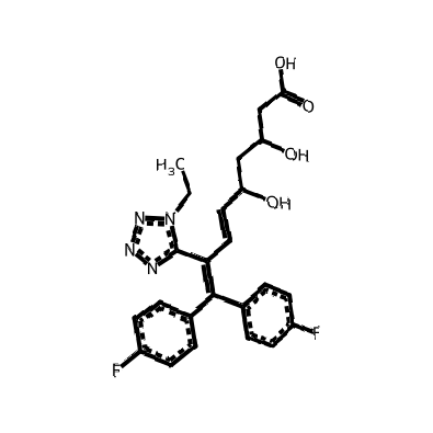 CCn1nnnc1C(C=CC(O)CC(O)CC(=O)O)=C(c1ccc(F)cc1)c1ccc(F)cc1